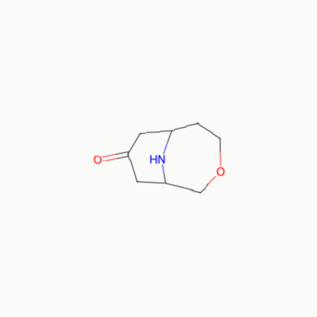 O=C1CC2CCOCC(C1)N2